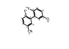 N#Cc1ccc(F)c(-c2cc(Cl)ccc2F)c1